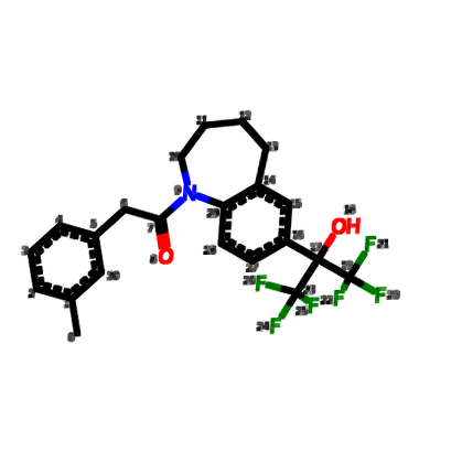 Cc1cccc(CC(=O)N2CCCCc3cc(C(O)(C(F)(F)F)C(F)(F)F)ccc32)c1